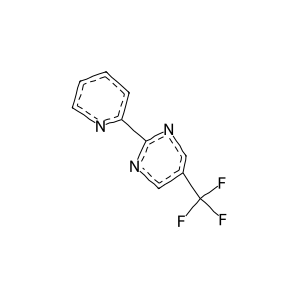 FC(F)(F)c1cnc(-c2ccccn2)nc1